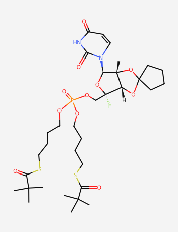 CC(C)(C)C(=O)SCCCCOP(=O)(OCCCCSC(=O)C(C)(C)C)OC[C@@]1(F)O[C@@H](n2ccc(=O)[nH]c2=O)[C@]2(C)OC3(CCCC3)O[C@@H]21